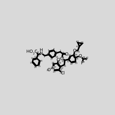 O=C(Cc1ccc(CNC(C(=O)O)c2ccccc2)cc1)OC(Cc1c(Cl)c[n+]([O-])cc1Cl)c1ccc(OC(F)F)c(OCC2CC2)c1